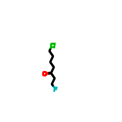 O=C(CCF)CCCCCl